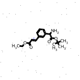 CCOC(=O)/C=C/c1cccc(C(N)C(=O)OC(C)(C)C)c1